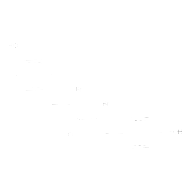 O=C(C(Br)Cc1ccc(O)cc1)C(Br)Cc1ccc(O)cc1